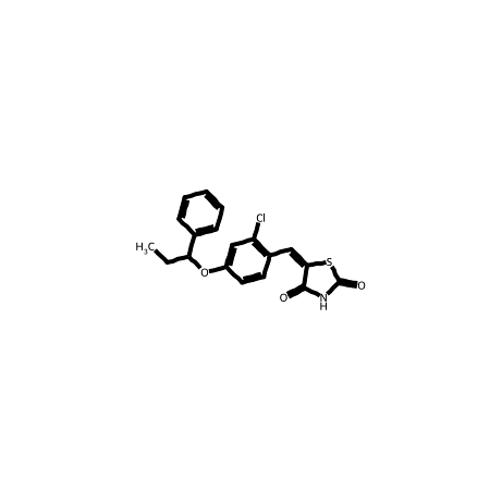 CCC(Oc1ccc(/C=C2/SC(=O)NC2=O)c(Cl)c1)c1ccccc1